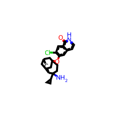 NC1(C2CC2)CCC2(Oc3cc4cc[nH]c(=O)c4cc3Cl)CC3CC(C2)C1C3